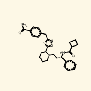 NC(=O)c1ccc(Cc2noc(C3CCCCN3CC[C@H](NC(=O)C3CCC3)c3ccccc3)n2)cc1